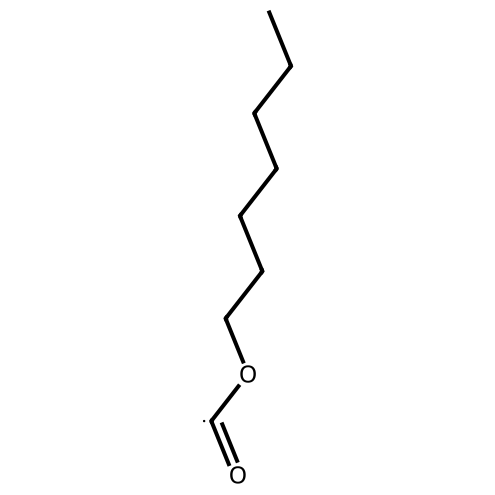 CCCCCCCO[C]=O